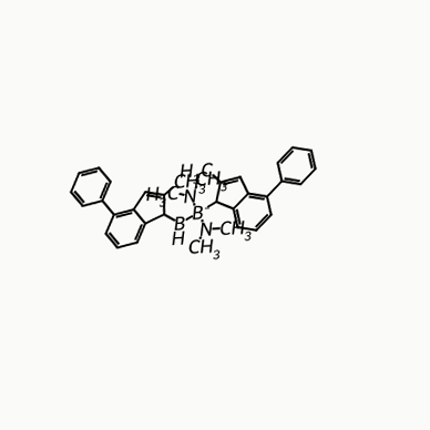 CC1=Cc2c(-c3ccccc3)cccc2C1B[B-](C1C(C)=Cc2c(-c3ccccc3)cccc21)(N(C)C)N(C)C